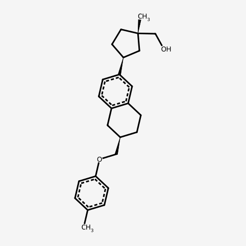 Cc1ccc(OC[C@@H]2CCc3cc([C@H]4CC[C@](C)(CO)C4)ccc3C2)cc1